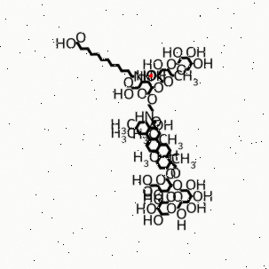 CC1O[C@@H](OC2C(O)[C@@H](NC(=O)CCCCCCCCCCC(=O)O)C(CO)O[C@H]2OCCNC(=O)[C@]23CCC(C)(C)CC2C2=CCC4C5(C)CC[C@H](O[C@@H]6OC(C(=O)O)[C@@H](O)[C@H](O[C@@H]7OC[C@@H](O)[C@@H](O)C7O)C6O[C@@H]6OC(CO)[C@H](O)[C@H](O)C6O)[C@](C)(C=O)[C@@H]5CCC4(C)[C@]2(C)C[C@@H]3O)C(O)C(O)[C@H]1O[C@@H]1OC[C@@H](O)C(O)C1O